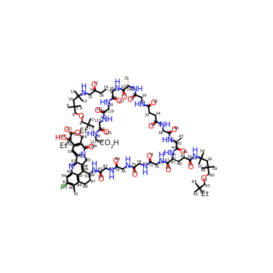 CCC(C)(C)COCC(C)(C)CC(C)(C)NCC(=O)CC[C@H](NC(=O)[C@H](C)NC(=O)CNC(=O)CCC(=O)NCC(=O)N[C@@H](C)C(=O)N[C@@H](CCC(=O)NC(C)(C)CC(C)(C)COCC(C)(C)CC)C(=O)NCC(=O)NCC(=O)NCC(=O)NCC(=O)N[C@H]1CCc2c(C)c(F)cc3nc4c(c1c23)Cn1c-4cc2c(c1=O)COC(=O)[C@]2(O)CC)C(=O)NCC(=O)NCC(=O)NCC(=O)O